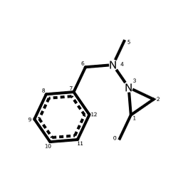 CC1CN1N(C)Cc1ccccc1